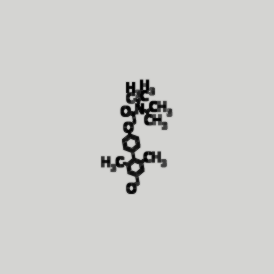 Cc1cc(C=O)cc(C)c1-c1ccc(OCC(=O)N(C(C)C)C(C)C)cc1